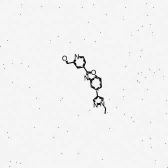 CCn1cc(-c2ccc3oc(-c4ccnc(C=O)c4)nc3c2)cn1